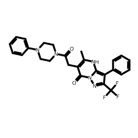 Cc1[nH]c2c(-c3ccccc3)c(C(F)(F)F)nn2c(=O)c1CC(=O)N1CCN(c2ccccc2)CC1